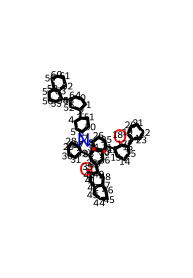 c1cc(-c2ccc(N(c3ccc(-c4cccc5c4oc4ccccc45)cc3)c3ccccc3-c3cccc4c3oc3cc5ccccc5cc34)cc2)cc(-c2cccc3ccccc23)c1